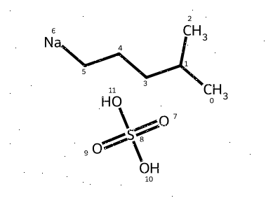 CC(C)CC[CH2][Na].O=S(=O)(O)O